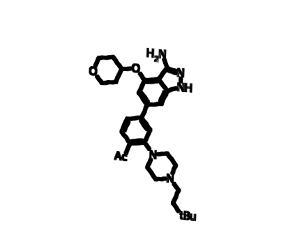 CC(=O)c1ccc(-c2cc(OC3CCOCC3)c3c(N)n[nH]c3c2)cc1N1CCN(CCC(C)(C)C)CC1